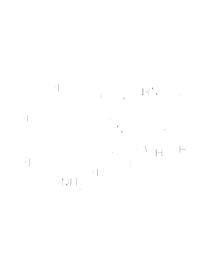 [2H]c1c([2H])c(N)c2c(c1[2H])C(=O)N(C1([2H])C(=O)NC(=C)CC1([2H])[2H])C2([2H])[2H]